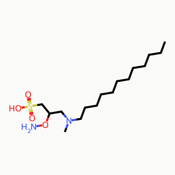 CCCCCCCCCCCCN(C)CC(CS(=O)(=O)O)ON